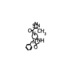 Cc1nnsc1C(=O)N1CCC2(CC1)NCC(=O)N2Cc1ccccc1